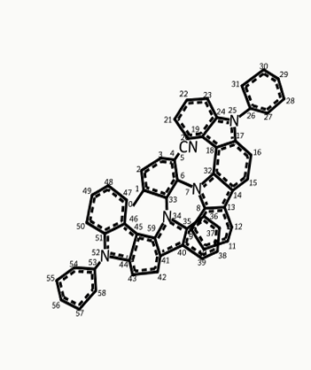 Cc1ccc(C#N)c(-n2c3ccccc3c3ccc4c(c5ccccc5n4-c4ccccc4)c32)c1-n1c2ccccc2c2ccc3c(c4ccccc4n3-c3ccccc3)c21